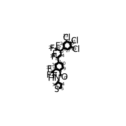 O=C(Nc1ccsc1)c1ccc(C(F)=CC(c2cc(Cl)c(Cl)c(Cl)c2)C(F)(F)F)cc1C(F)(F)F